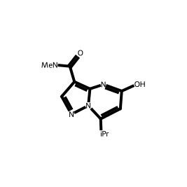 CNC(=O)c1cnn2c(C(C)C)cc(O)nc12